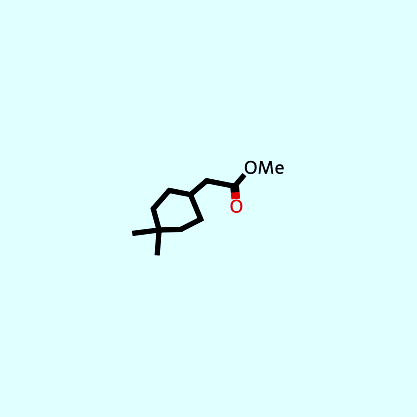 COC(=O)CC1CCC(C)(C)CC1